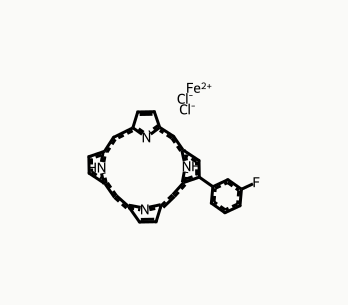 Fc1cccc(-c2cc3cc4nc(cc5ccc(cc6nc(cc2[nH]3)C=C6)[nH]5)C=C4)c1.[Cl-].[Cl-].[Fe+2]